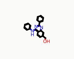 OCc1ccc2c(Nc3ccccc3)nc(-c3ccccc3)nc2c1